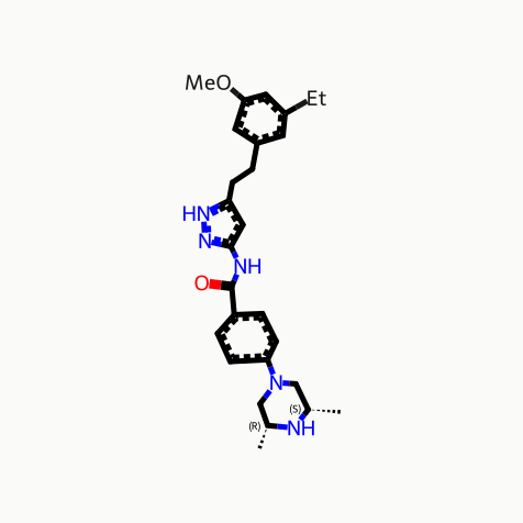 CCc1cc(CCc2cc(NC(=O)c3ccc(N4C[C@@H](C)N[C@@H](C)C4)cc3)n[nH]2)cc(OC)c1